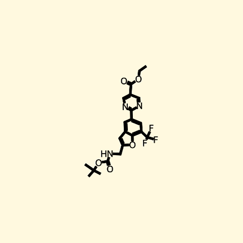 CCOC(=O)c1cnc(-c2cc(C(F)(F)F)c3oc(CNC(=O)OC(C)(C)C)cc3c2)nc1